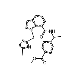 COC(=O)c1ccc([C@H](C)NC(=O)c2cccc3ccn(Cc4nc(C)cs4)c23)cc1